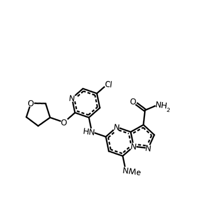 CNc1cc(Nc2cc(Cl)cnc2OC2CCOC2)nc2c(C(N)=O)cnn12